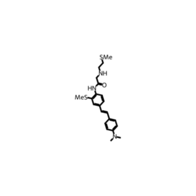 CSCCNCC(=O)Nc1ccc(/C=C/c2ccc(N(C)C)cc2)cc1SC